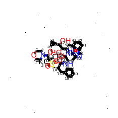 CC(C)(C(=O)N1CCOCC1)S(=O)(=O)C[C@@H](Cc1ccccc1)C(=O)N[C@@H](Cc1c[nH]cn1)C(=O)N[C@@H](Cc1ccccc1)[C@@H](O)[C@@H](O)C1CC1